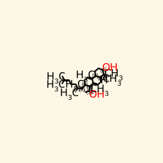 CC(C)=CCC[C@@H](C)[C@H]1C[C@H](O)[C@@]2(C)C3=CC[C@H]4C(C)(C)[C@@H](O)CC[C@]4(C)C3=CC[C@]12C